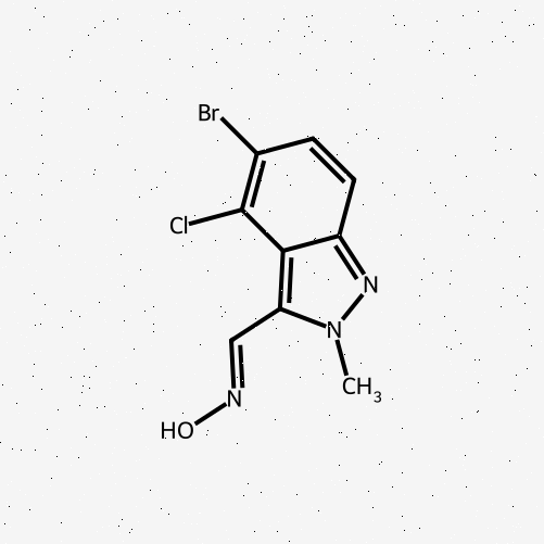 Cn1nc2ccc(Br)c(Cl)c2c1C=NO